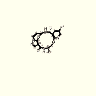 CC[C@@H]1COc2ncc(F)cc2[C@@H](C)Nc2ccn3ncc(c3n2)C(=O)N1